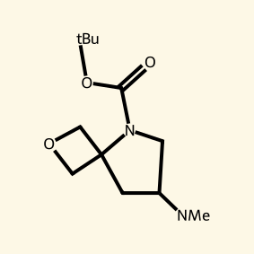 CNC1CN(C(=O)OC(C)(C)C)C2(COC2)C1